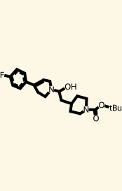 CC(C)(C)OC(=O)N1CCC(CC(O)N2CC=C(c3ccc(F)cc3)CC2)CC1